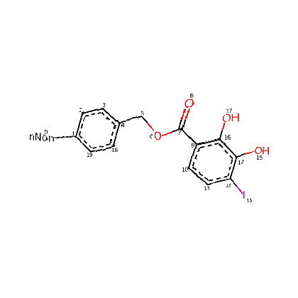 CCCCCCCCCc1ccc(COC(=O)c2ccc(I)c(O)c2O)cc1